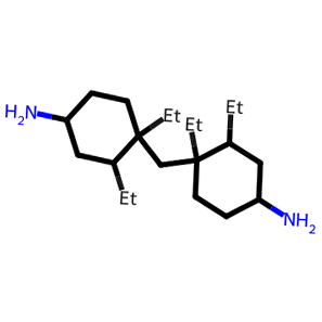 CCC1CC(N)CCC1(CC)CC1(CC)CCC(N)CC1CC